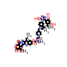 CCc1c2c(nc3ccc(OC(=O)N(C)CC(=O)N4CCC(Cn5ccc6cc(-n7c(O)nnc7-c7cc(C(C)C)c(O)cc7O)ccc65)CC4)cc13)-c1cc3c(c(=O)n1C2)COC(=O)[C@]3(O)CC